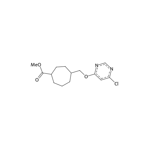 COC(=O)C1CCCC(COc2cc(Cl)ncn2)CC1